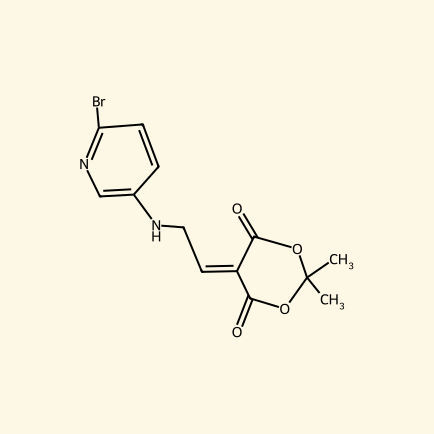 CC1(C)OC(=O)C(=CCNc2ccc(Br)nc2)C(=O)O1